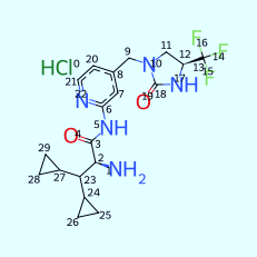 Cl.N[C@H](C(=O)Nc1cc(CN2C[C@@H](C(F)(F)F)NC2=O)ccn1)C(C1CC1)C1CC1